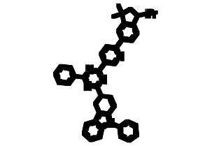 CC(C)C1CC(C)(C)c2cc(-c3ccc(-c4nc(-c5ccccc5)nc(C5C=Cc6c(c7ccccc7n6-c6ccccc6)C5)n4)cn3)ccc21